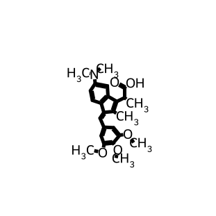 COc1cc(C=C2C(C)=C(C(C)C(=O)O)c3cc(N(C)C)ccc32)cc(OC)c1OC